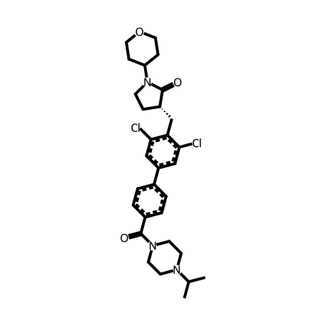 CC(C)N1CCN(C(=O)c2ccc(-c3cc(Cl)c(C[C@@H]4CCN(C5CCOCC5)C4=O)c(Cl)c3)cc2)CC1